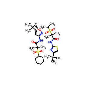 CC(C)(C)c1cc(NC(=O)C(C)(C)S(=O)(=O)C2CCCCC2)no1.CC(C)S(=O)(=O)C(C)(C)C(=O)Nc1nc(C(C)(C)C)cs1